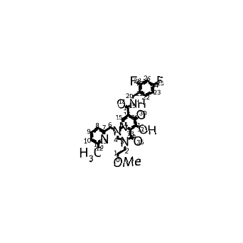 COCCN1CN(Cc2cccc(C)n2)n2cc(C(=O)NCc3ccc(F)cc3F)c(=O)c(O)c2C1=O